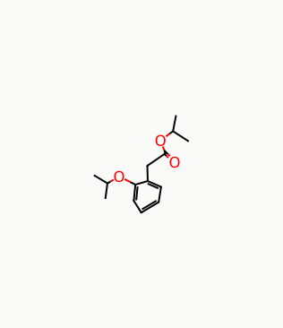 CC(C)OC(=O)Cc1ccccc1OC(C)C